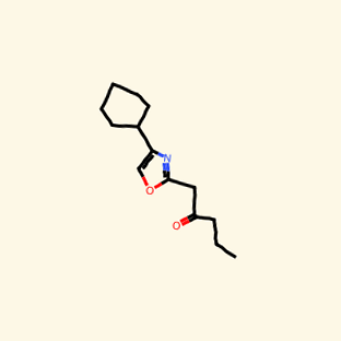 CCCC(=O)Cc1nc(C2CCCCC2)co1